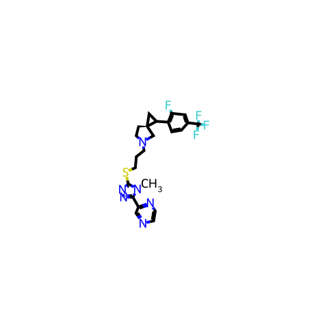 Cn1c(SCCCN2CC[C@]3(CC3c3ccc(C(F)(F)F)cc3F)C2)nnc1-c1cnccn1